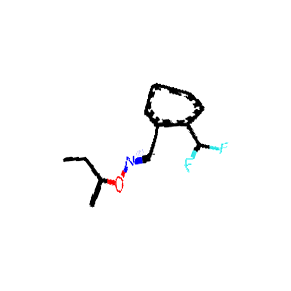 CCC(C)O/N=[C]/c1ccccc1C(F)F